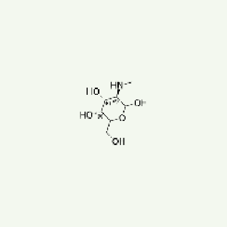 CN[C@H]1C(O)OC(CO)[C@H](O)[C@@H]1O